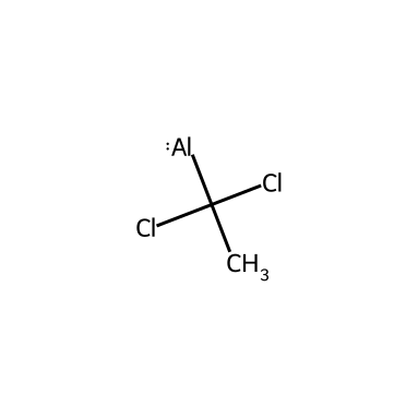 C[C]([Al])(Cl)Cl